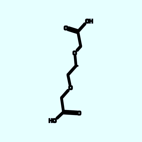 O=C(O)CO[CH]COCC(=O)O